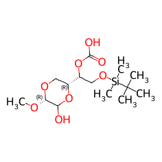 CO[C@@H]1OC[C@H](C(CO[Si](C)(C)C(C)(C)C)OC(=O)O)OC1O